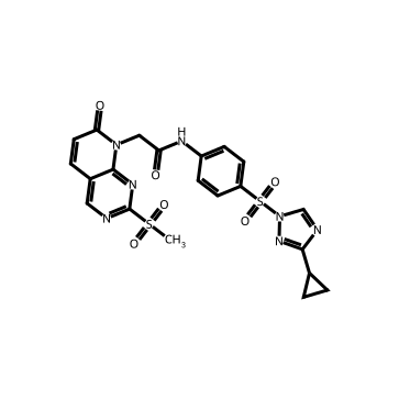 CS(=O)(=O)c1ncc2ccc(=O)n(CC(=O)Nc3ccc(S(=O)(=O)n4cnc(C5CC5)n4)cc3)c2n1